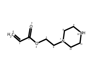 C=CC(=O)OCCN1CCNCC1